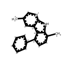 Cc1cnc2[nH]c3c(C)ccc(-c4ccccc4)c3c2c1